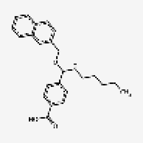 CCCCCNC(OCc1ccc2ccccc2c1)c1ccc(C(=O)O)cc1